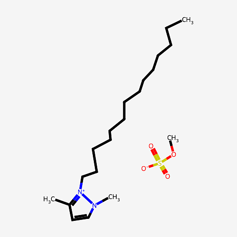 CCCCCCCCCCCCCC[n+]1c(C)ccn1C.COS(=O)(=O)[O-]